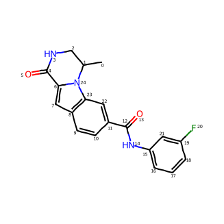 CC1CNC(=O)c2cc3ccc(C(=O)Nc4cccc(F)c4)cc3n21